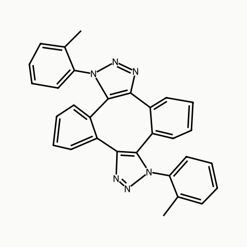 Cc1ccccc1-n1nnc2c1-c1ccccc1-c1nnn(-c3ccccc3C)c1-c1ccccc1-2